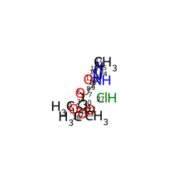 COc1cc(C(=O)CCCC(=O)NN2CCN(C)CC2)cc(OC)c1OC.Cl